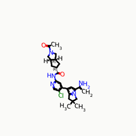 C=C(N)c1cc(-c2cc(NC(=O)[C@@H]3C[C@@H]4CN(C(C)=O)C[C@@H]4C3)ncc2Cl)c2n1CC(C)(C)C2